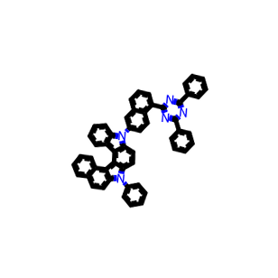 c1ccc(-c2nc(-c3ccccc3)nc(-c3cccc4cc(-n5c6ccccc6c6c7c8c9ccccc9ccc8n(-c8ccccc8)c7ccc65)ccc34)n2)cc1